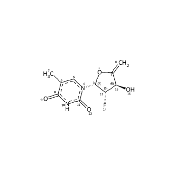 C=C1O[C@@H](n2cc(C)c(=O)[nH]c2=O)[C@@H](F)[C@@H]1O